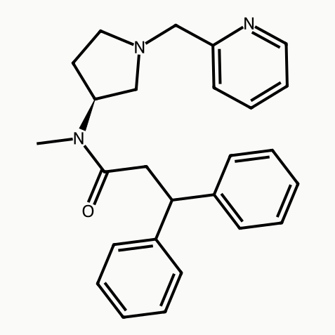 CN(C(=O)CC(c1ccccc1)c1ccccc1)[C@H]1CCN(Cc2ccccn2)C1